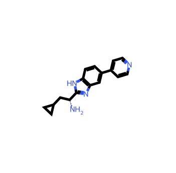 N[C@H](CC1CC1)c1nc2cc(-c3ccncc3)ccc2[nH]1